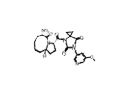 COc1cncc(N2C(=O)N(C(=O)[C@@H]3CC[C@@H]4CCCC[C@H](N)C(=O)N43)C3(CC3)C2=O)c1